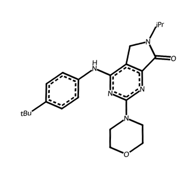 CC(C)N1Cc2c(Nc3ccc(C(C)(C)C)cc3)nc(N3CCOCC3)nc2C1=O